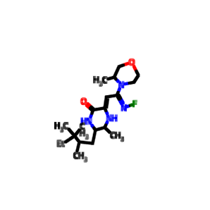 CCC(C)(C)C(C)CC1NC(=O)/C(=C/C(=NF)N2CCOCC2C)NC1C